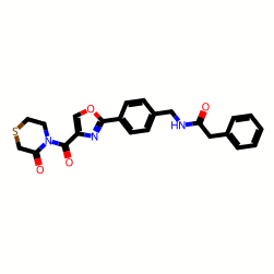 O=C(Cc1ccccc1)NCc1ccc(-c2nc(C(=O)N3CCSCC3=O)co2)cc1